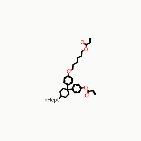 C=CC(=O)OCCCCCCOc1ccc(C2(c3ccc(OC(=O)C=C)cc3)CCC(CCCCCCC)CC2)cc1